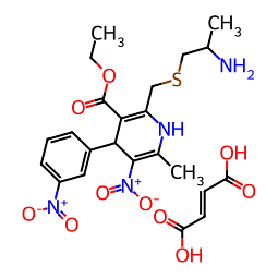 CCOC(=O)C1=C(CSCC(C)N)NC(C)=C([N+](=O)[O-])C1c1cccc([N+](=O)[O-])c1.O=C(O)C=CC(=O)O